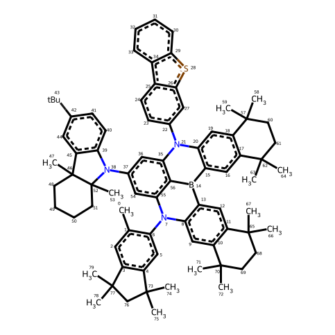 Cc1cc2c(cc1N1c3cc4c(cc3B3c5cc6c(cc5N(c5ccc7c(c5)sc5ccccc57)c5cc(N7c8ccc(C(C)(C)C)cc8C8(C)CCCCC78C)cc1c53)C(C)(C)CCC6(C)C)C(C)(C)CCC4(C)C)C(C)(C)CC2(C)C